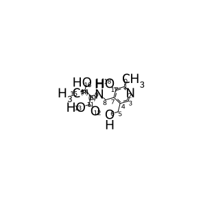 Cc1ncc(CO)c(CN[C@H](C(=O)O)[C@@H](C)O)c1O